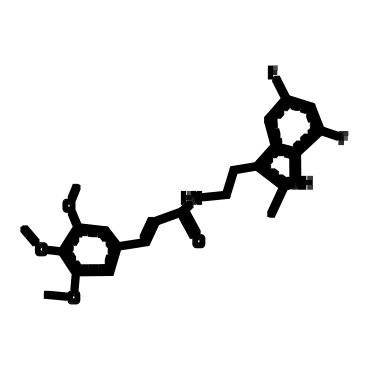 COc1cc(/C=C/C(=O)NCCc2c(C)[nH]c3c(F)cc(F)cc23)cc(OC)c1OC